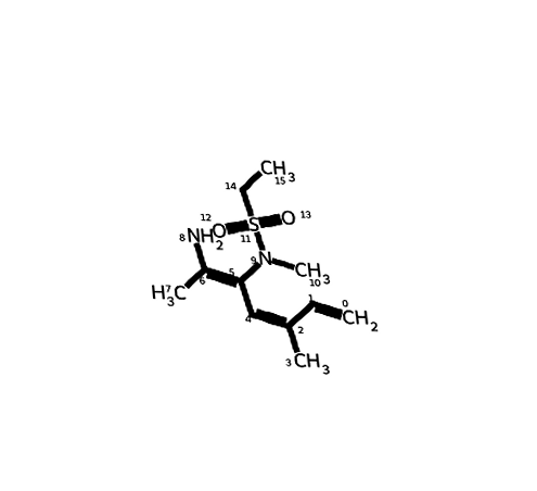 C=C/C(C)=C\C(=C(/C)N)N(C)S(=O)(=O)CC